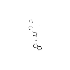 Cc1nc(N2CC[C@H](N3CCC[C@@H]3C)C2)ccc1NC(=O)Oc1cccc2ccccc12